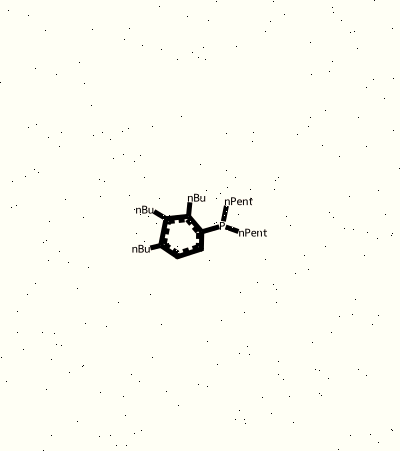 CCCCCP(CCCCC)c1ccc(CCCC)c(CCCC)c1CCCC